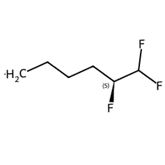 [CH2]CCC[C@H](F)C(F)F